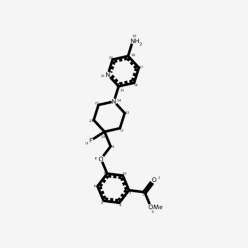 COC(=O)c1cccc(OCC2(F)CCN(c3ccc(N)cn3)CC2)c1